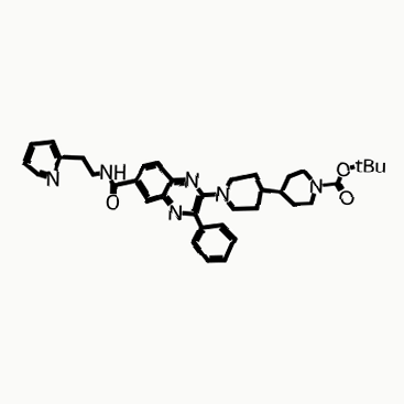 CC(C)(C)OC(=O)N1CCC(C2CCN(c3nc4ccc(C(=O)NCCc5ccccn5)cc4nc3-c3ccccc3)CC2)CC1